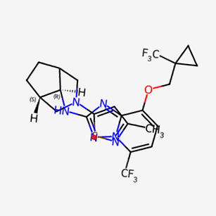 Cc1cc(N2CC3CC[C@@H](C2)[C@@H]3Nc2nc3c(OCC4(C(F)(F)F)CC4)ccc(C(F)(F)F)n3n2)sn1